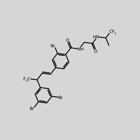 CC(NC(=O)CNC(=O)c1ccc(/C=C/C(c2cc(Br)cc(Br)c2)C(F)(F)F)cc1Br)C(F)(F)F